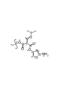 CC(C)O/N=C(\C(=O)Oc1csc(N)n1)C(=O)OC(C)(C)C